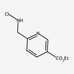 CCOC(=O)c1ccc(CNCl)nc1